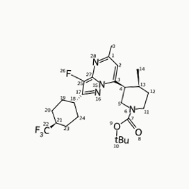 Cc1cc([C@@H]2CN(C(=O)OC(C)(C)C)CC[C@@H]2C)n2nc([C@H]3CC[C@H](C(F)(F)F)CC3)c(F)c2n1